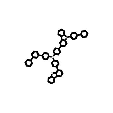 c1ccc(-c2ccc(-n3c4ccccc4c4cc(-c5ccc(N(c6ccc(-c7cccc(-c8ccccc8)c7)cc6)c6ccc(-c7cccc8c7sc7ccccc78)cc6)cc5)ccc43)cc2)cc1